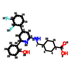 O=C(O)C1CCC(CNc2cc(-c3cccc(F)c3F)cc(-c3ccccc3O)n2)CC1